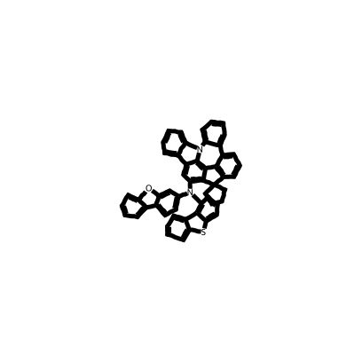 c1ccc2c(c1)-c1cccc3c1-c1c(c(N(c4ccc5c(c4)oc4ccccc45)c4cccc5sc6ccccc6c45)cc4c5ccccc5n-2c14)C31CCCC1